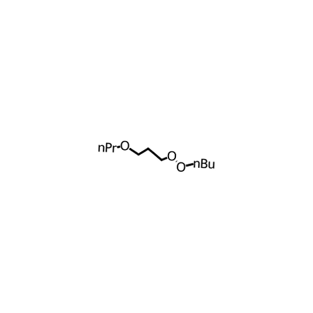 CCCCOOCCCOCCC